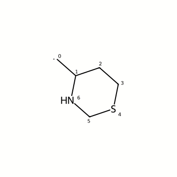 [CH2]C1CCSCN1